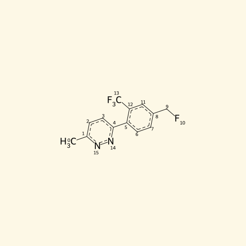 Cc1ccc(-c2ccc(CF)cc2C(F)(F)F)nn1